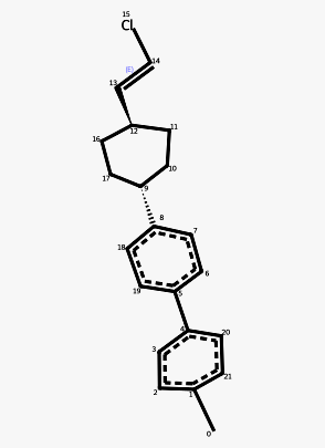 Cc1ccc(-c2ccc([C@H]3CC[C@H](/C=C/Cl)CC3)cc2)cc1